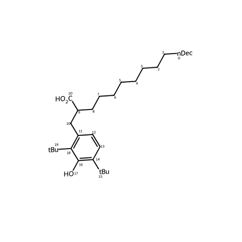 CCCCCCCCCCCCCCCCCCC(Cc1ccc(C(C)(C)C)c(O)c1C(C)(C)C)C(=O)O